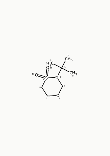 CC(C)(C)N1COCCS1(=O)=O